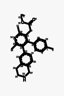 Cc1ccc(-c2c(CC(=O)OC(C)C)c(C)nc(C)c2-c2ccc3c(c2)CCNC3)cc1